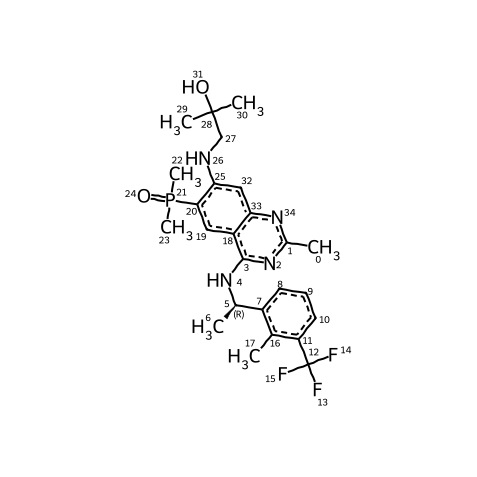 Cc1nc(N[C@H](C)c2cccc(C(F)(F)F)c2C)c2cc(P(C)(C)=O)c(NCC(C)(C)O)cc2n1